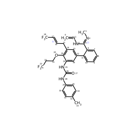 C=NN/C(=N\C)c1ccccc1-c1cc(C/C=C/C(F)(F)F)c(OCCC(F)(F)F)c(NC(=O)Nc2ccc(C)cc2)c1